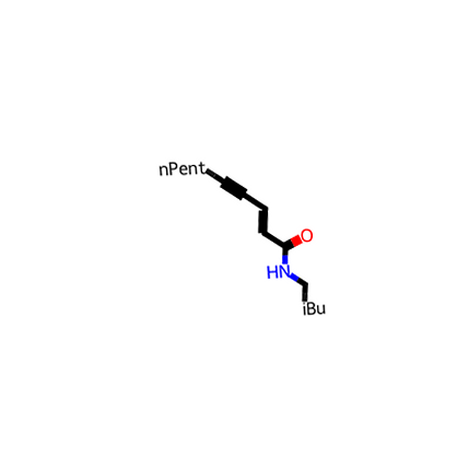 CCCCCC#CC=CC(=O)NCC(C)CC